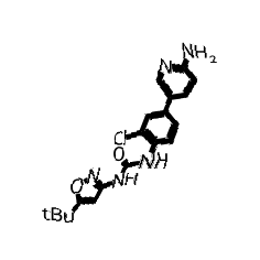 CC(C)(C)c1cc(NC(=O)Nc2ccc(-c3ccc(N)nc3)cc2Cl)no1